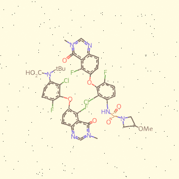 COC1CN(S(=O)(=O)Nc2ccc(F)c(Oc3ccc4ncn(C)c(=O)c4c3F)c2Cl)C1.Cn1cnc2ccc(Oc3c(F)ccc(N(C(=O)O)C(C)(C)C)c3Cl)c(F)c2c1=O